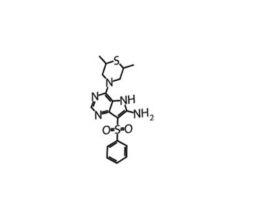 CC1CN(c2ncnc3c(S(=O)(=O)c4ccccc4)c(N)[nH]c23)CC(C)S1